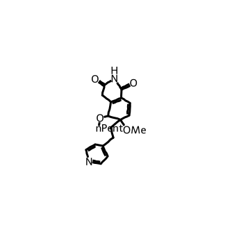 CCCCCOC1C2=C(C=CC1(CCc1ccncc1)OC)C(=O)NC(=O)C2